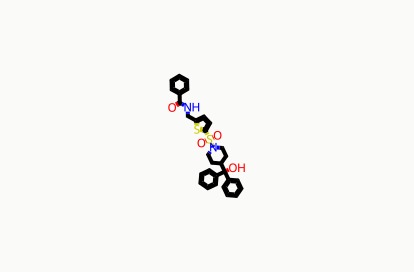 O=C(NCc1ccc(S(=O)(=O)N2CCC(C(O)(c3ccccc3)c3ccccc3)CC2)s1)c1ccccc1